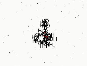 CC[C@H](C)[C@@H]1NC(=O)CNC(=O)C2Cc3c([nH]c4cc(O)ccc34)[S@+]([O-])CC(NC(=O)CNC1=O)C(=O)NC(CC(N)=O)C(=O)N1CC(O)CC1C(=O)N[C@@H]([C@@H](C)[C@@H]1COC(c3ccc(NC(=O)[C@H](C)NC(=O)C(NC)C(C)C)cc3)O1)C(=O)N2